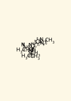 CC1CCn2c1nc1ccc(-c3cnc(C4(NSC(C)(C)C)CC(C)(C#N)C4)c(F)c3)cc12